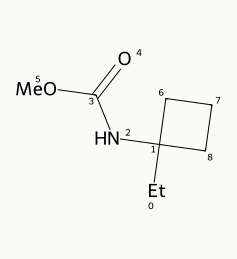 CCC1(NC(=O)OC)CCC1